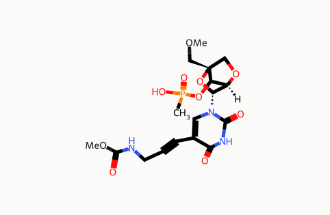 COC[C@@]12CO[C@H](C1OP(C)(=O)O)[C@H](n1cc(C#CCNC(=O)OC)c(=O)[nH]c1=O)O2